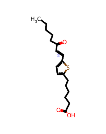 CCCCCC(=O)/C=C/c1ccc(CCCCCC(=O)O)s1